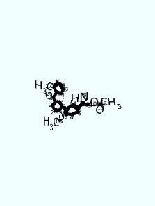 CCn1c2ccc(C(=N)COC(C)=O)cc2c2cc(C(=O)c3ccccc3C)ccc21